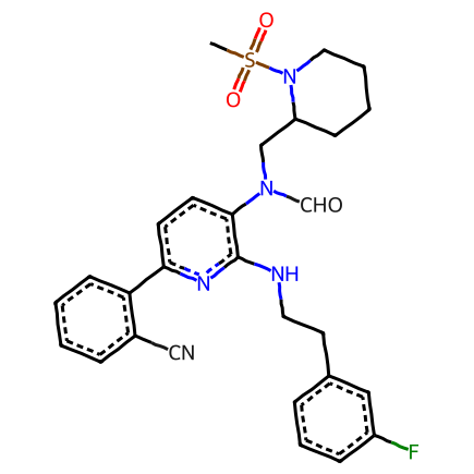 CS(=O)(=O)N1CCCCC1CN(C=O)c1ccc(-c2ccccc2C#N)nc1NCCc1cccc(F)c1